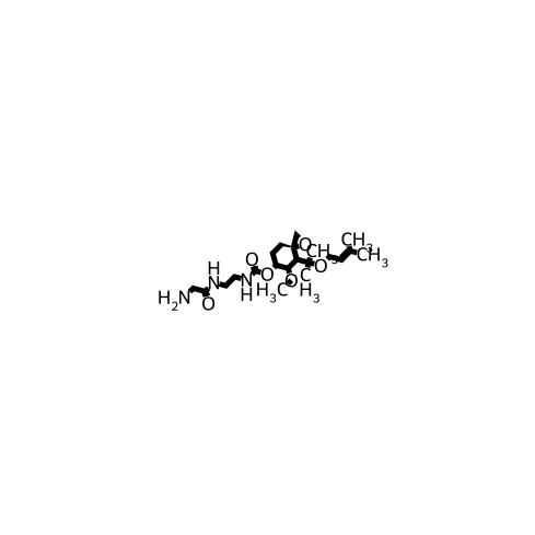 COC1C(OC(=O)NCCNC(=O)CN)CC[C@]2(CO2)C1C(C)(C)OCC=C(C)C